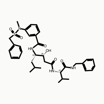 CC(C)C[C@H](NC(=O)c1cccc(N(C)S(=O)(=O)Cc2ccccc2)c1)[C@H](O)CC(=O)N[C@H](C(=O)NCc1ccccc1)C(C)C